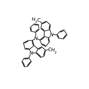 Cc1ccc2c(c1)c1c(N(c3ccccc3)c3cccc4c3c3cc(C)ccc3n4-c3ccccc3)cccc1n2-c1ccccc1